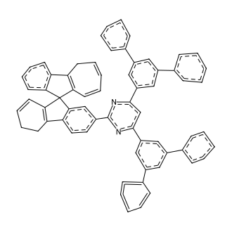 C1=C=C(c2cc(-c3ccccc3)cc(-c3cc(-c4cc(-c5ccccc5)cc(-c5ccccc5)c4)nc(-c4ccc5c(c4)C4(C6=C(CC=CC=C6)c6ccccc64)C4=C5CCC=C4)n3)c2)C=CC=1